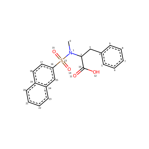 CN(C(Cc1ccccc1)C(=O)O)S(=O)(=O)c1ccc2ccccc2c1